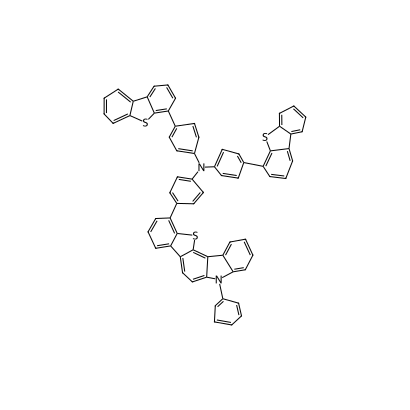 c1ccc(-n2c3ccccc3c3c4sc5c(-c6ccc(N(c7ccc(-c8cccc9c8sc8ccccc89)cc7)c7ccc(-c8cccc9c8sc8ccccc89)cc7)cc6)cccc5c4ccc32)cc1